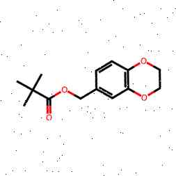 CC(C)(C)C(=O)OCc1ccc2c(c1)OCCO2